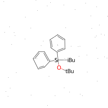 CCC(C)[Si](OC(C)(C)C)(c1ccccc1)c1ccccc1